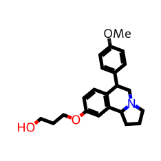 COc1ccc(C2CN3CCCC3c3cc(OCCCO)ccc32)cc1